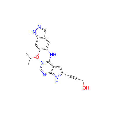 CC(C)Oc1cc2[nH]ncc2cc1Nc1ncnc2[nH]c(C#CCO)cc12